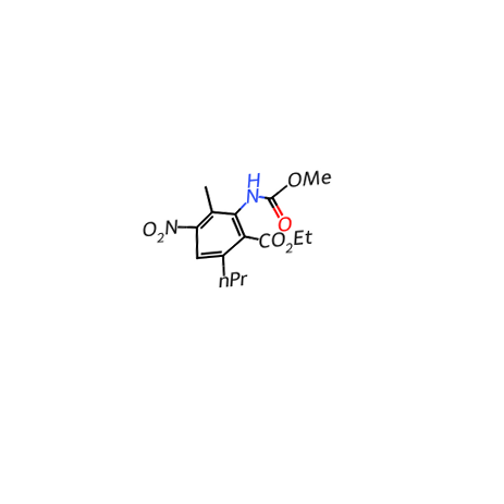 CCCc1cc([N+](=O)[O-])c(C)c(NC(=O)OC)c1C(=O)OCC